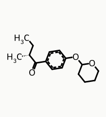 CC[C@@H](C)C(=O)c1ccc(OC2CCCCO2)cc1